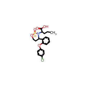 CCCC(C(=O)O)N1C(c2ccccc2Oc2ccc(Cl)cc2)CCO[PH]1=O